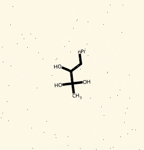 [CH2]CCCC(O)C(C)(O)O